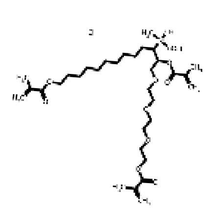 C=C(C)C(=O)OCCCCCCCCCCC(C(COCCOCCOCCOC(=O)C(=C)C)OC(=O)C(=C)C)[N+](C)(C)CCCCCCCC.[Cl-]